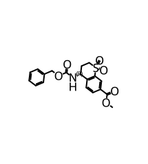 COC(=O)c1ccc2c(c1)S(=O)(=O)CC[C@H]2NC(=O)OCc1ccccc1